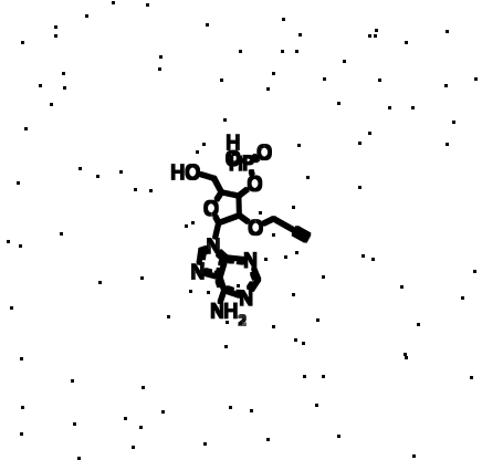 C#CCOC1C(O[PH](=O)O)C(CO)OC1n1cnc2c(N)ncnc21